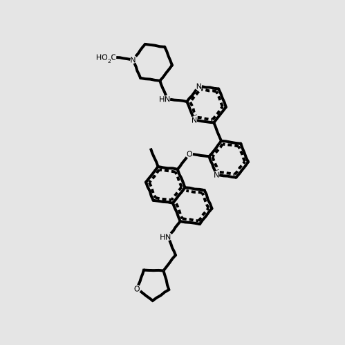 Cc1ccc2c(NCC3CCOC3)cccc2c1Oc1ncccc1-c1ccnc(NC2CCCN(C(=O)O)C2)n1